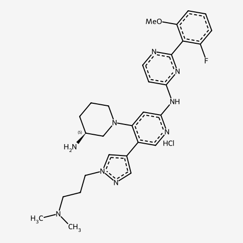 COc1cccc(F)c1-c1nccc(Nc2cc(N3CCC[C@H](N)C3)c(-c3cnn(CCCN(C)C)c3)cn2)n1.Cl